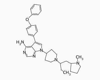 CCC(CC1CCCN1C)N1CCC(n2cc(-c3ccc(Oc4ccccc4)cc3)c3c(N)ncnc32)CC1